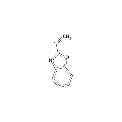 C=[C]c1nc2ccccc2o1